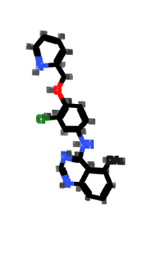 CC(=O)Oc1cccc2ncnc(Nc3ccc(OCc4ccccn4)c(Cl)c3)c12